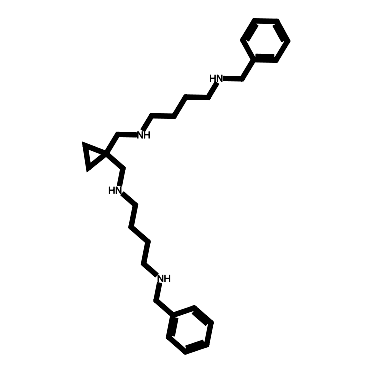 c1ccc(CNCCCCNCC2(CNCCCCNCc3ccccc3)CC2)cc1